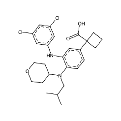 CC(C)CN(c1ccc(C2(C(=O)O)CCC2)cc1Nc1cc(Cl)cc(Cl)c1)C1CCOCC1